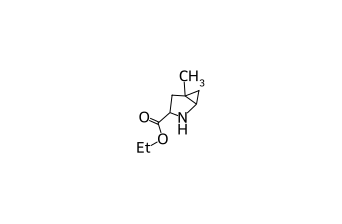 CCOC(=O)C1CC2(C)CC2N1